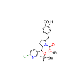 CC(C)(C)OC(=O)N1[C@H](Cc2ccc(C(=O)O)cc2)CC[C@@H]1C(O[Si](C)(C)C(C)(C)C)c1ccc(Cl)nc1